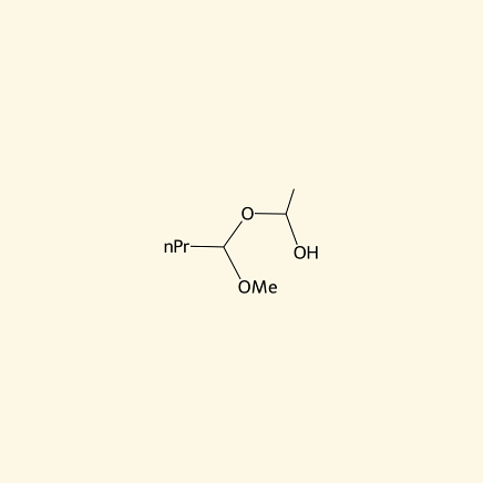 CCCC(OC)OC(C)O